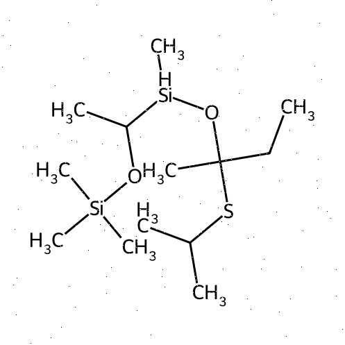 CCC(C)(O[SiH](C)C(C)O[Si](C)(C)C)SC(C)C